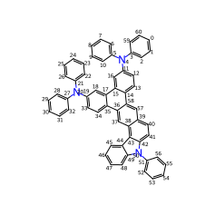 c1ccc(N(c2ccccc2)c2ccc3c(c2)c2cc(N(c4ccccc4)c4ccccc4)ccc2c2cc4c(ccc5c4c4ccccc4n5-c4ccccc4)cc32)cc1